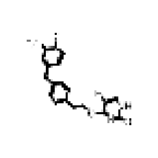 O=c1nc(OCCc2ccc(Cc3ccc(Cl)c(C(F)(F)F)c3)cc2)c(F)c[nH]1